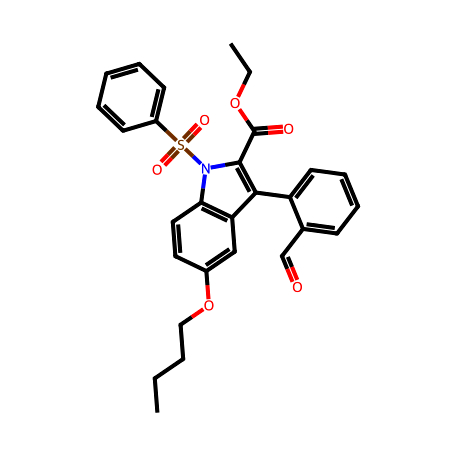 CCCCOc1ccc2c(c1)c(-c1ccccc1C=O)c(C(=O)OCC)n2S(=O)(=O)c1ccccc1